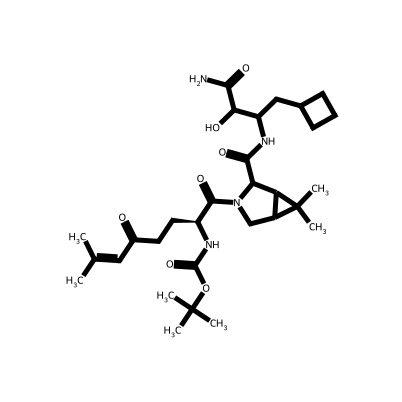 CC(C)=CC(=O)CC[C@H](NC(=O)OC(C)(C)C)C(=O)N1CC2C(C1C(=O)NC(CC1CCC1)C(O)C(N)=O)C2(C)C